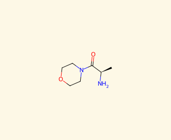 C[C@@H](N)C(=O)N1CCOCC1